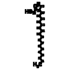 CCCCCCCCCCCCCCCCCCC1CCOC1CO